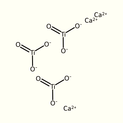 [Ca+2].[Ca+2].[Ca+2].[O]=[Ti]([O-])[O-].[O]=[Ti]([O-])[O-].[O]=[Ti]([O-])[O-]